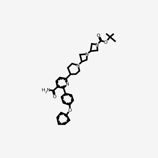 CC(C)(C)OC(=O)N1CC(N2CC(N3CCC(c4ccc(C(N)=O)c(-c5ccc(Oc6ccccc6)cc5)n4)CC3)C2)C1